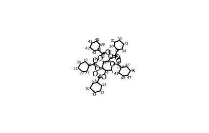 O=C(OCC(OC(=O)C1CCCCC1)C(OC(=O)C1CCCCC1)C(COC(=O)C1CCCCC1)OC(=O)C1CCCCC1)C1CCCCC1